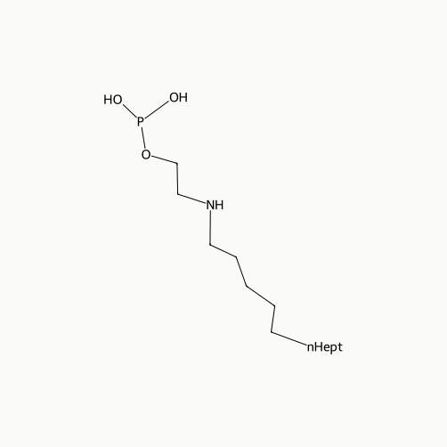 CCCCCCCCCCCCNCCOP(O)O